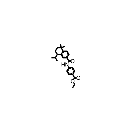 CCOC(=O)c1ccc(NC(=O)c2ccc3c(c2)C(C(C)C)CCC3(C)C)cc1